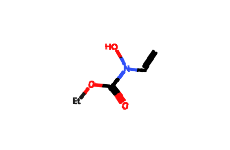 C=CN(O)C(=O)OCC